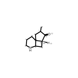 CC1CC23CCCNC2C[C@H]3C1=O